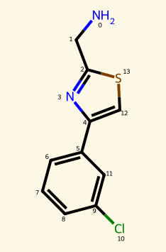 NCc1nc(-c2cccc(Cl)c2)cs1